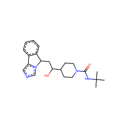 CC(C)(C)NC(=O)N1CCC(C(O)CC2c3ccccc3-c3cncn32)CC1